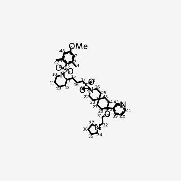 COc1cc(C)c(S(=O)(=O)N2CCCCC2CCCS(=O)(=O)N2CCC3(CC2)CCC(OCCN2CCCC2)(c2cccnc2)CC3)c(C)c1